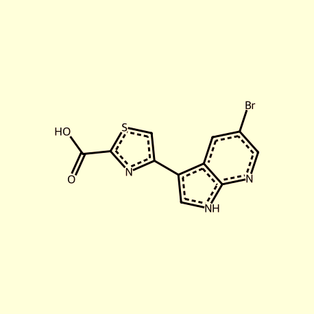 O=C(O)c1nc(-c2c[nH]c3ncc(Br)cc23)cs1